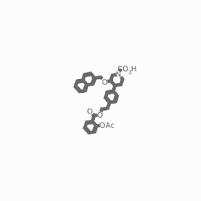 CC(=O)Oc1ccccc1C(=O)OCCc1ccc(C2CCN(C(=O)O)CC2OCc2ccc3ccccc3c2)cc1